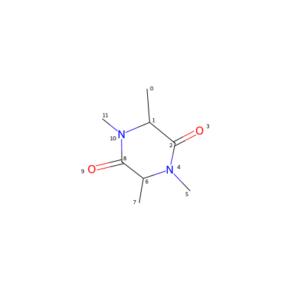 CC1C(=O)N(C)C(C)C(=O)N1C